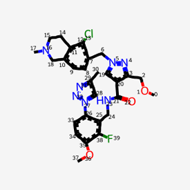 COCc1nn(Cc2ccc3c(c2Cl)CCN(C)C3)cc1C(=O)NCc1c(-n2cc(C)nn2)ccc(OC)c1F